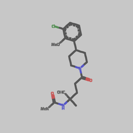 CNC(=O)NC(C)(C=O)CCC(=O)N1CCC(c2cccc(Cl)c2OC)CC1